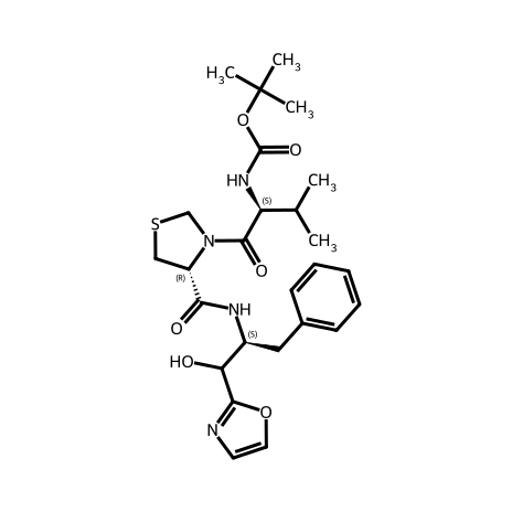 CC(C)[C@H](NC(=O)OC(C)(C)C)C(=O)N1CSC[C@H]1C(=O)N[C@@H](Cc1ccccc1)C(O)c1ncco1